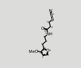 COc1ccoc1CCCNC(=O)CCN=[N+]=[N-]